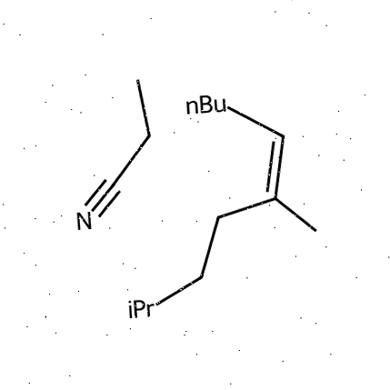 CCC#N.CCCCC=C(C)CCC(C)C